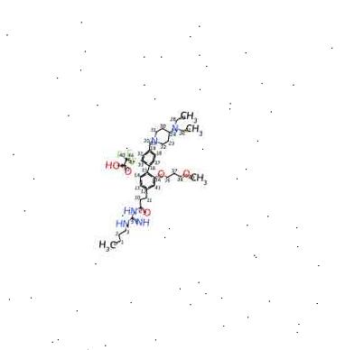 CCCCNC(=N)NC(=O)CCc1ccc(-c2ccc(CN3CCC(N(CC)CC)CC3)cc2)c(OCCCOC)c1.O=C(O)C(F)(F)F